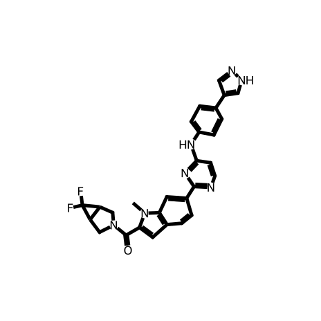 Cn1c(C(=O)N2CC3C(C2)C3(F)F)cc2ccc(-c3nccc(Nc4ccc(-c5cn[nH]c5)cc4)n3)cc21